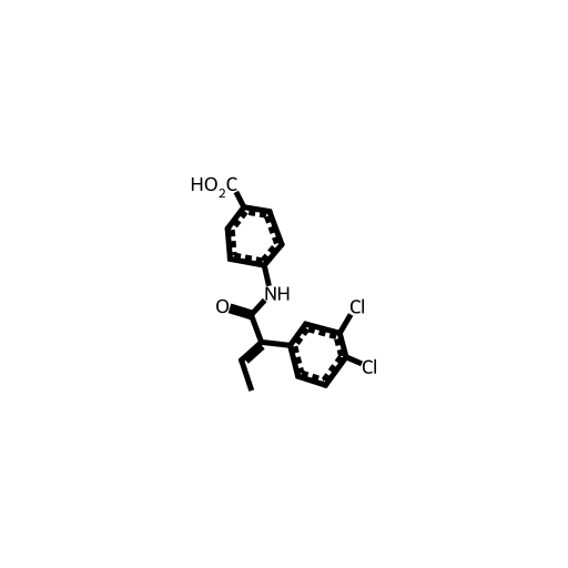 CC=C(C(=O)Nc1ccc(C(=O)O)cc1)c1ccc(Cl)c(Cl)c1